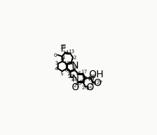 CC1=C2CCCc3c4c(nc(c32)CC=C1F)-c1cc2c(c(=O)n1C4)COC(=O)[C@H]2O